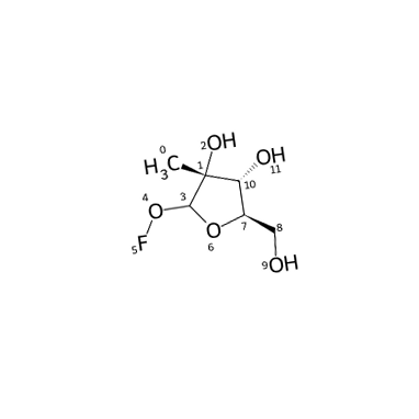 C[C@]1(O)C(OF)O[C@H](CO)[C@H]1O